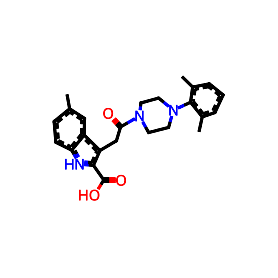 Cc1ccc2[nH]c(C(=O)O)c(CC(=O)N3CCN(c4c(C)cccc4C)CC3)c2c1